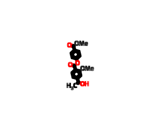 COC(=O)c1ccc(OC(=O)c2ccc(C(C)O)cc2OC)cc1